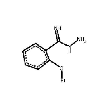 CCOc1ccccc1C(=N)NN